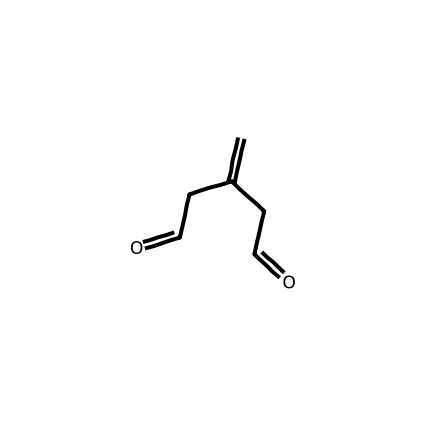 C=C(CC=O)CC=O